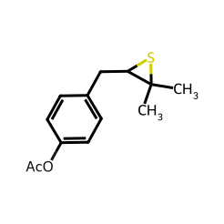 CC(=O)Oc1ccc(CC2SC2(C)C)cc1